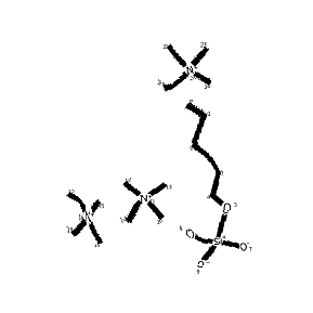 CCCCCO[Si]([O-])([O-])[O-].C[N+](C)(C)C.C[N+](C)(C)C.C[N+](C)(C)C